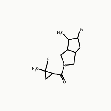 CC(C)C1CC2CN(C(=O)C3CC3(C)F)CC2C1C